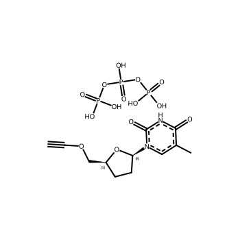 C#COC[C@@H]1CC[C@H](n2cc(C)c(=O)[nH]c2=O)O1.O=P(O)(O)OP(=O)(O)OP(=O)(O)O